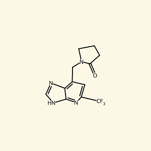 O=C1CCCN1Cc1cc(C(F)(F)F)nc2[nH]cnc12